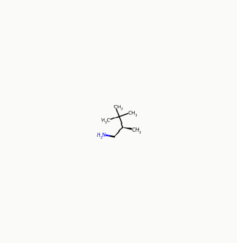 C[C@@H](CN)C(C)(C)C